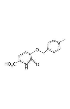 Cc1ccc(COc2ccc(C(=O)O)[nH]c2=O)cc1